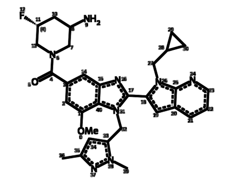 COc1cc(C(=O)N2CC(N)C[C@@H](F)C2)cc2nc(-c3cc4cccnc4n3CC3CC3)n(Cc3cc(C)nn3C)c12